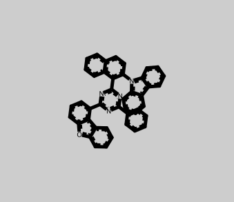 c1ccc(-c2nc(-c3c(-n4c5ccccc5c5ccccc54)ccc4ccccc34)nc(-c3cccc4oc5ccccc5c34)n2)cc1